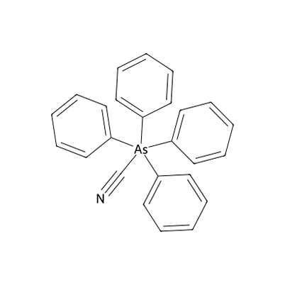 N#C[As](c1ccccc1)(c1ccccc1)(c1ccccc1)c1ccccc1